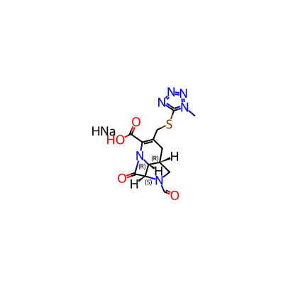 Cn1nnnc1SCC1=C(C(=O)O)N2C(=O)[C@@H]3[C@H]2[C@H](C1)CN3C=O.[NaH]